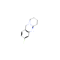 Fc1ccc2c(c1)N=C1CCCCN1C2